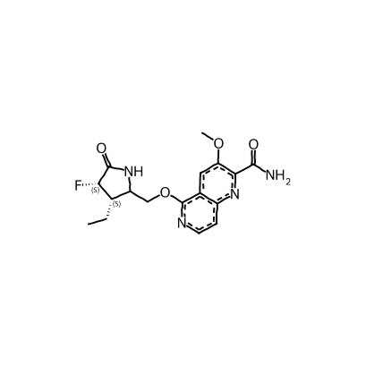 CC[C@H]1C(COc2nccc3nc(C(N)=O)c(OC)cc23)NC(=O)[C@H]1F